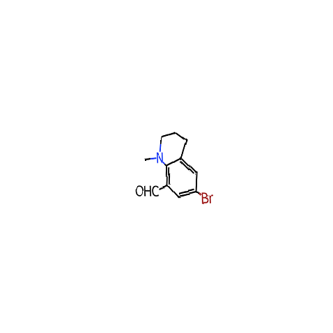 CN1CCCc2cc(Br)cc(C=O)c21